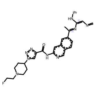 C=N/C=C(\N=C(/C)c1ccc2cnc(NC(=O)c3cn(C4CCN(CCF)CC4)nn3)cc2c1)NC(C)C